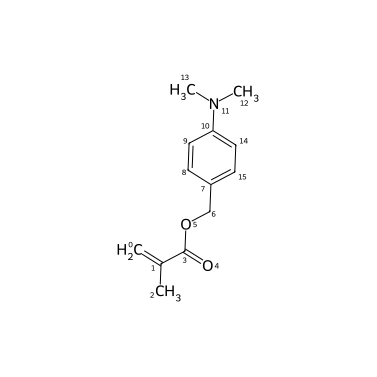 C=C(C)C(=O)OCc1ccc(N(C)C)cc1